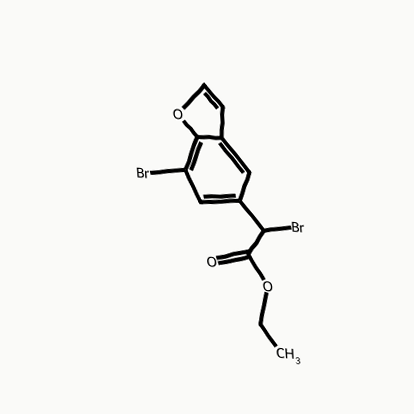 CCOC(=O)C(Br)c1cc(Br)c2occc2c1